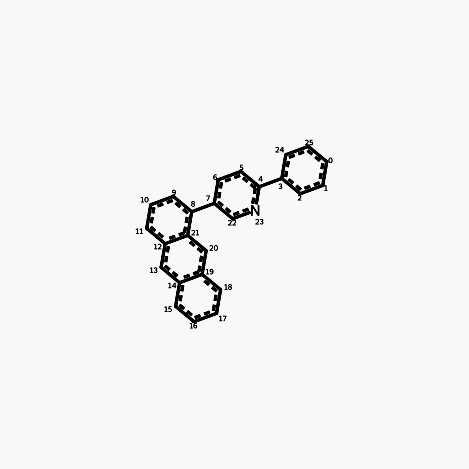 c1ccc(-c2ccc(-c3cccc4cc5ccccc5cc34)cn2)cc1